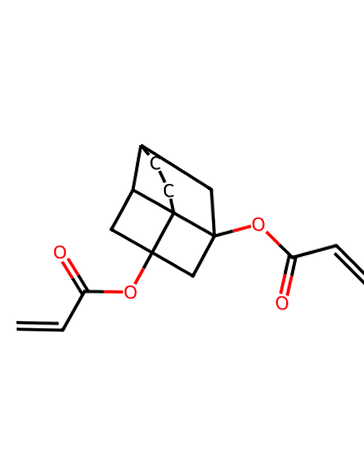 C=CC(=O)OC12CC3CCC14C3CC4(OC(=O)C=C)C2